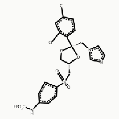 CCOC(=O)Nc1ccc(S(=O)(=O)C[C@@H]2CO[C@@](Cn3ccnc3)(c3ccc(Cl)cc3Cl)O2)cc1